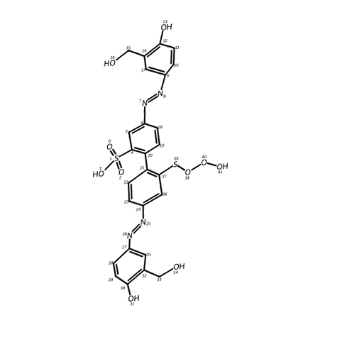 O=S(=O)(O)c1cc(N=Nc2ccc(O)c(CO)c2)ccc1-c1ccc(N=Nc2ccc(O)c(CO)c2)cc1SOOO